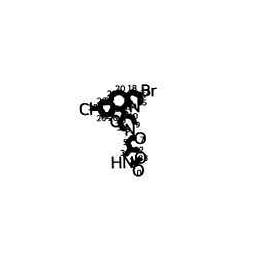 O=C1NCC(CC(=O)N2CCC(C3c4ncc(Br)cc4CCc4cc(Cl)cc(Cl)c43)CC2)CO1